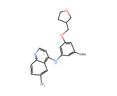 COc1cc(Nc2ccnc3ccc(C(F)(F)F)cc23)cc(OCC2CCOC2)c1